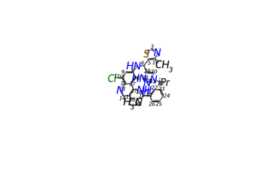 Cc1ncsc1[C@H](Nc1cc(Cl)c2ncc(C#N)c(N[C@H](C)c3ccccc3)c2c1)C1=CN(C(C)C)NN1